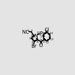 CC(C)n1c(CC#N)cc(Br)c1C(=O)c1cccc(Cl)c1